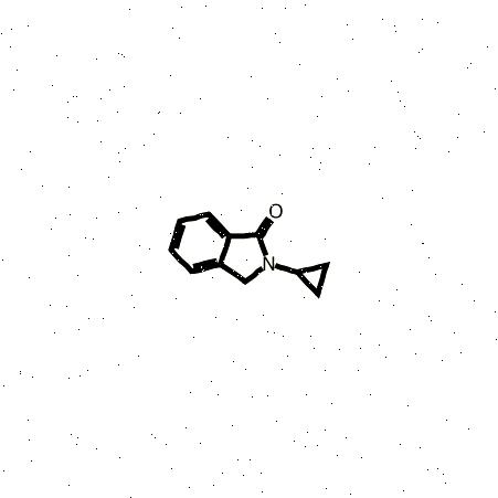 O=C1c2ccccc2CN1C1CC1